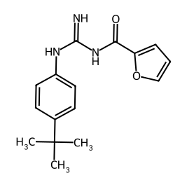 CC(C)(C)c1ccc(NC(=N)NC(=O)c2ccco2)cc1